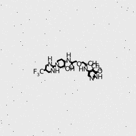 C[C@@H](COCC(=O)N[C@H]1CCN(C2NCC(C(F)(F)F)CN2)C[C@@H]1O)Nc1cn[nH]c(=O)c1C(F)(F)F